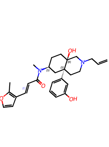 C=CCN1CC[C@@]2(c3cccc(O)c3)C[C@@H](N(C)C(=O)/C=C/c3ccoc3C)CC[C@]2(O)C1